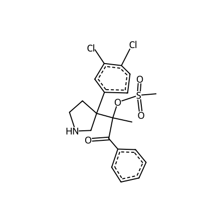 CC(OS(C)(=O)=O)(C(=O)c1ccccc1)C1(c2ccc(Cl)c(Cl)c2)CCNC1